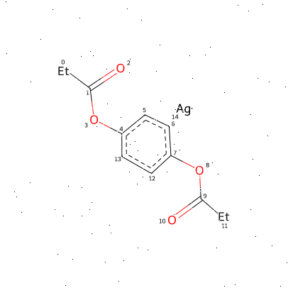 CCC(=O)Oc1ccc(OC(=O)CC)cc1.[Ag]